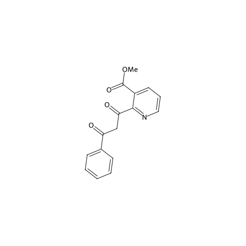 COC(=O)c1cccnc1C(=O)CC(=O)c1ccccc1